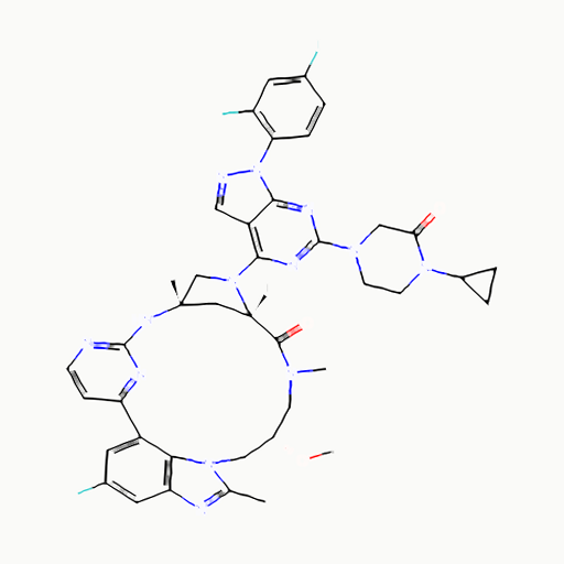 CCO[C@H]1CN(C)C(=O)[C@@H]2C[C@@H](CN2c2nc(N3CCN(C4CC4)C(=O)C3)nc3c2cnn3-c2ccc(F)cc2F)Nc2nccc(n2)-c2cc(F)cc3nc(C)n(c23)C1